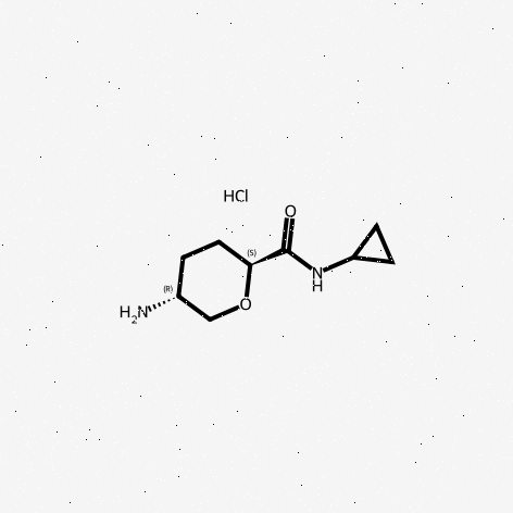 Cl.N[C@@H]1CC[C@@H](C(=O)NC2CC2)OC1